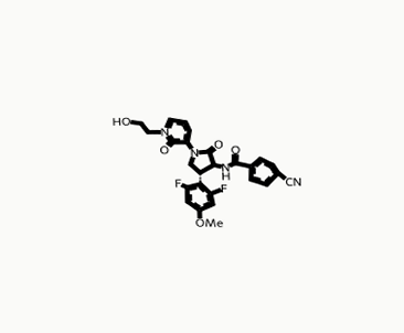 COc1cc(F)c([C@@H]2CN(c3cccn(CCO)c3=O)C(=O)C2NC(=O)c2ccc(C#N)cc2)c(F)c1